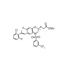 COC(=O)CC[C@H]1CN(S(=O)(=O)c2cccc(C(F)(F)F)c2)c2cc(C=C(C)c3c(F)cccc3Cl)c(F)cc2O1